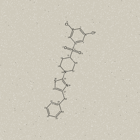 O=S(=O)(c1cc(Cl)cc(Cl)c1)C1CCN(c2nc(Cc3ccccc3)cs2)CC1